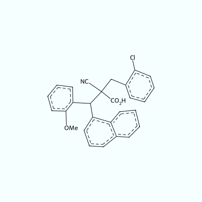 COc1ccccc1C(c1cccc2ccccc12)C(C#N)(Cc1ccccc1Cl)C(=O)O